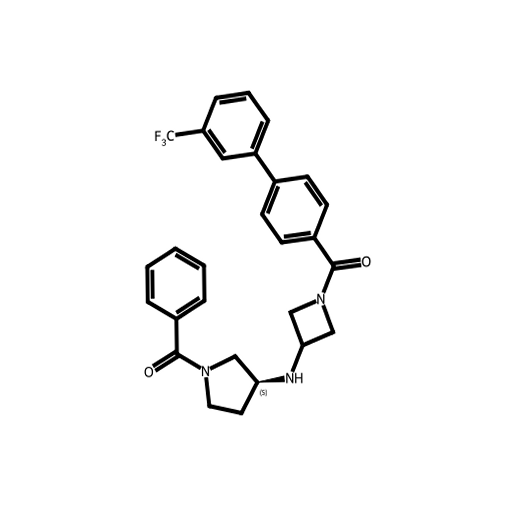 O=C(c1ccc(-c2cccc(C(F)(F)F)c2)cc1)N1CC(N[C@H]2CCN(C(=O)c3ccccc3)C2)C1